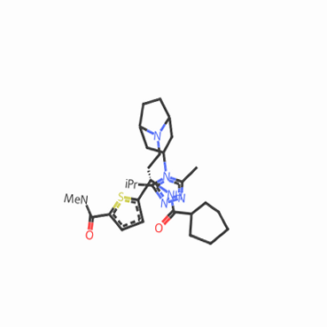 CNC(=O)c1ccc([C@H](CCN2C3CCC2CC(n2c(C)nnc2C(C)C)C3)NC(=O)C2CCCCC2)s1